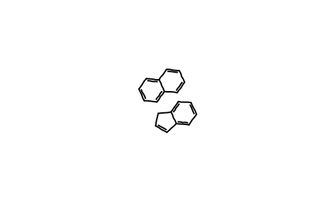 C1=Cc2ccccc2C1.c1ccc2ccccc2c1